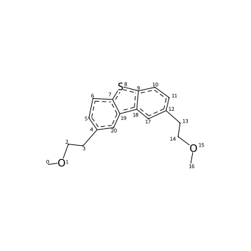 COCCc1ccc2sc3ccc(CCOC)cc3c2c1